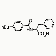 CCCCc1ccc(C(=O)N[C@@H](Cc2ccccc2)C(=O)O)cc1